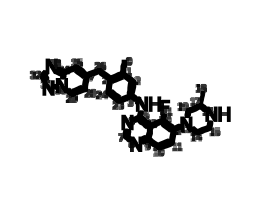 Cc1cc(Nc2ncnc3ccc(N4CCN[C@H](C)C4)c(F)c23)ccc1Cc1ccn2ncnc2c1